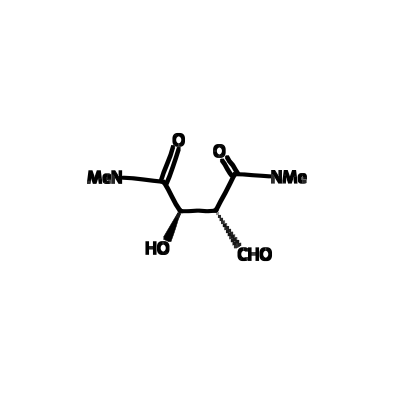 CNC(=O)[C@H](O)[C@@H](C=O)C(=O)NC